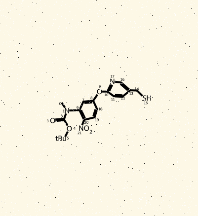 CN(C(=O)OC(C)(C)C)c1cc(Oc2ccc(CS)cn2)ccc1[N+](=O)[O-]